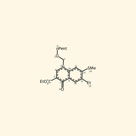 CCCCCOCn1cc(C(=O)OCC)c(=O)c2cc(CC)c(SC)cc21